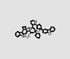 CC1=CC(C)(c2ccccc2)C=C(c2cccnc2-c2ccc(-c3ccc4oc5ccccc5c4c3)cc2)N=C1C1=Cc2sc3ccccc3c2C2C=C[C@@H]12